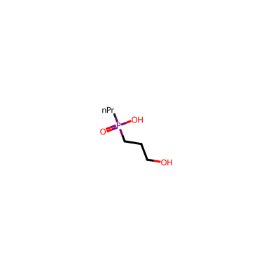 CCCP(=O)(O)CCCO